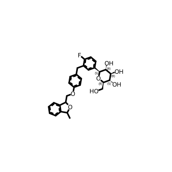 CC1OC(COc2ccc(Cc3cc([C@@H]4O[C@H](CO)[C@@H](O)[C@H](O)[C@H]4O)ccc3F)cc2)c2ccccc21